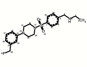 CCNCc1ccc(S(=O)(=O)N2CCN(c3cccc(CF)c3)CC2)cc1